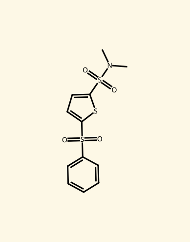 CN(C)S(=O)(=O)c1ccc(S(=O)(=O)c2ccccc2)s1